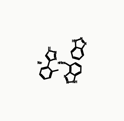 CCCCCCc1cccc2[nH]nnc12.Cc1ccccc1-c1c[nH]nn1.[Na].c1ccc2[nH]nnc2c1